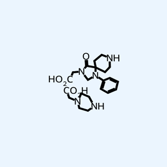 O=C(O)CN1CCNCC1.O=C(O)CN1CN(c2ccccc2)C2(CCNCC2)C1=O